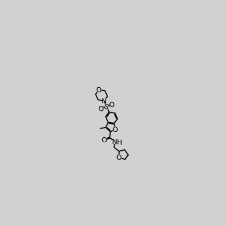 Cc1c(C(=O)NCC2CCCO2)oc2ccc(S(=O)(=O)N3CCOCC3)cc12